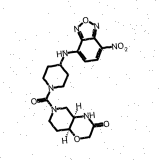 O=C1CO[C@H]2CCN(C(=O)N3CCC(Nc4ccc([N+](=O)[O-])c5nonc45)CC3)C[C@H]2N1